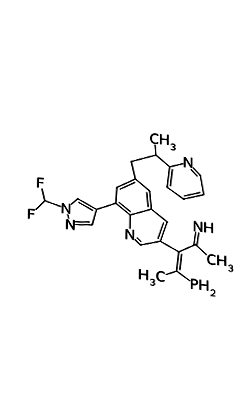 CC(=N)/C(=C(/C)P)c1cnc2c(-c3cnn(C(F)F)c3)cc(CC(C)c3ccccn3)cc2c1